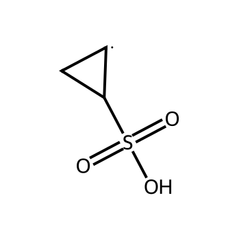 O=S(=O)(O)C1[CH]C1